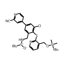 CC(C)(C)[S+]([O-])NCc1cc(-c2ccnc(C#N)c2)cc(Cl)c1Sc1ncccc1CO[Si](C)(C)C(C)(C)C